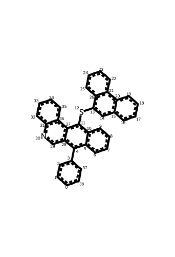 c1ccc(-c2c3ccccc3c(Sc3cc4ccccc4c4ccccc34)c3c2cnc2ccccc23)cc1